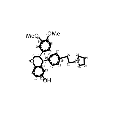 COc1ccc([C@@H]2COc3ccc(O)cc3[C@@H]2c2ccc(CCN3CCCC3)cc2)cc1OC